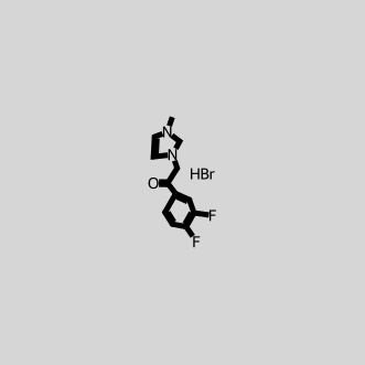 Br.CN1C=CN(CC(=O)c2ccc(F)c(F)c2)C1